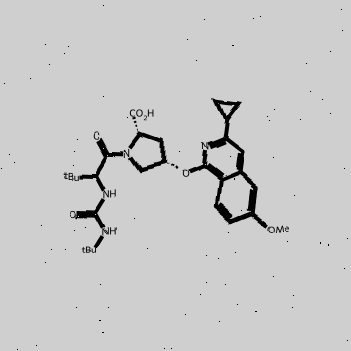 COc1ccc2c(O[C@H]3C[C@@H](C(=O)O)N(C(=O)C(NC(=O)NC(C)(C)C)C(C)(C)C)C3)nc(C3CC3)cc2c1